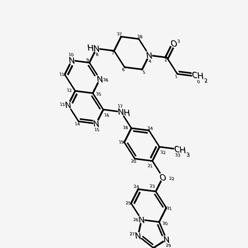 C=CC(=O)N1CCC(Nc2ncc3ncnc(Nc4ccc(Oc5ccn6ncnc6c5)c(C)c4)c3n2)CC1